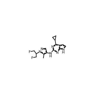 Cc1c(Nc2nc(C3CC3)c3cc[nH]c3n2)cnn1C(CF)CF